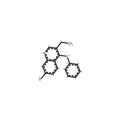 CCc1cnc2cc(Cl)ccc2c1Sc1ccccc1